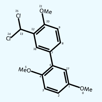 COc1ccc(OC)c(-c2ccc(OC)c(C(Cl)Cl)c2)c1